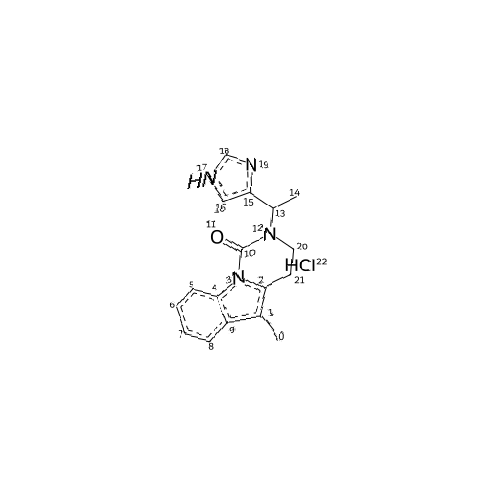 Cc1c2n(c3ccccc13)C(=O)N(C(C)c1c[nH]cn1)CC2.Cl